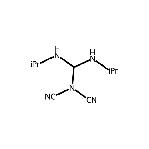 CC(C)NC(NC(C)C)N(C#N)C#N